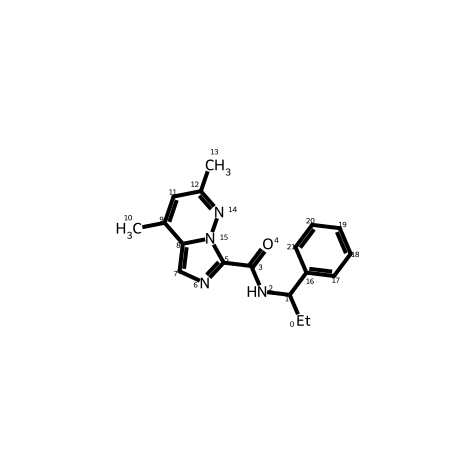 CCC(NC(=O)c1ncc2c(C)cc(C)nn12)c1ccccc1